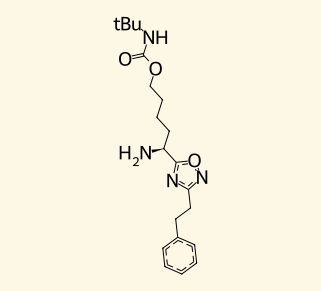 CC(C)(C)NC(=O)OCCCC[C@H](N)c1nc(CCc2ccccc2)no1